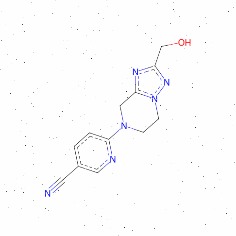 N#Cc1ccc(N2CCn3nc(CO)nc3C2)nc1